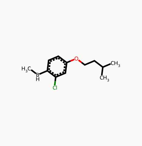 CBc1ccc(OCCC(C)C)cc1Cl